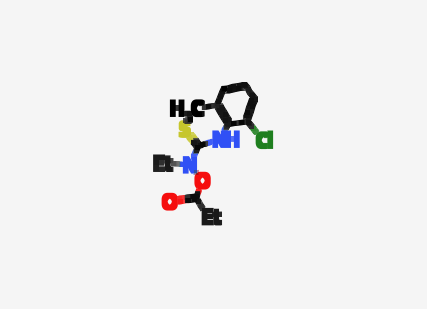 CCC(=O)ON(CC)C(=S)Nc1c(C)cccc1Cl